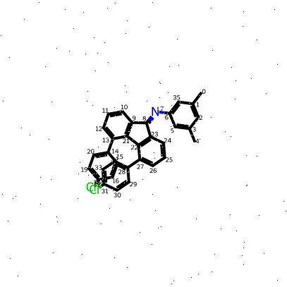 Cc1cc(C)cc(N=C2c3cccc(-c4ccc(Cl)cc4)c3-c3c2cccc3-c2ccc(Cl)cc2)c1